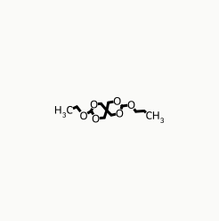 CCCOC1OCC2(COC(OCC)OC2)CO1